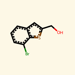 OCc1cc2cccc(Br)c2s1